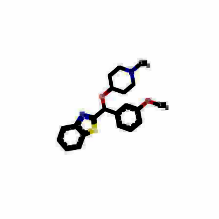 COc1cccc(C(OC2CCN(C)CC2)c2nc3ccccc3s2)c1